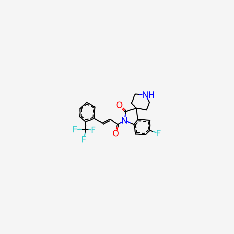 O=C(/C=C/c1ccccc1C(F)(F)F)N1C(=O)C2(CCNCC2)c2cc(F)ccc21